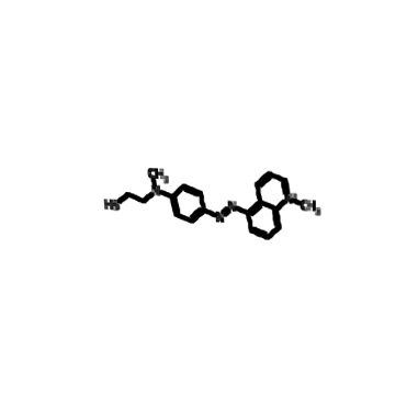 CN(CCS)c1ccc(/N=N/c2cccc3c2ccc[n+]3C)cc1